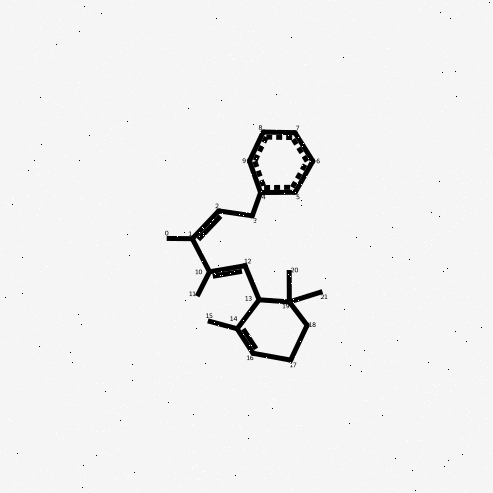 CC(=CCc1ccccc1)C(C)=CC1C(C)=CCCC1(C)C